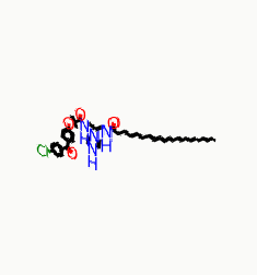 CCC=CCC=CCC=CCC=CCC=CCC=CCCC(=O)NCC(CNC(=O)C(C)(C)Oc1ccc(C(=O)c2ccc(Cl)cc2)cc1)N1CCNCC1